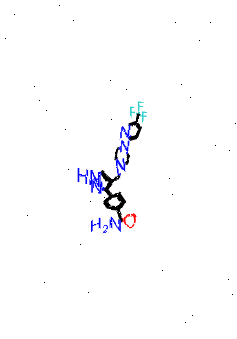 NC(=O)c1ccc(-c2n[nH]cc2CN2CCN(c3ccc(C(F)(F)F)cn3)CC2)cc1